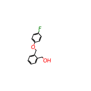 OCc1ccccc1COc1ccc(F)cc1